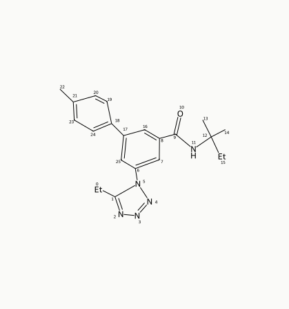 CCc1nnnn1-c1cc(C(=O)NC(C)(C)CC)cc(-c2ccc(C)cc2)c1